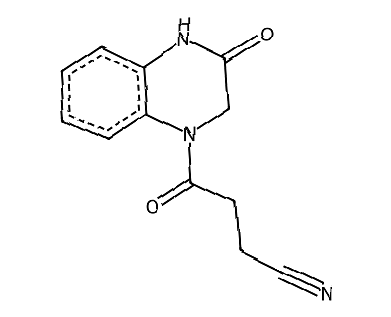 N#CCCC(=O)N1CC(=O)Nc2ccccc21